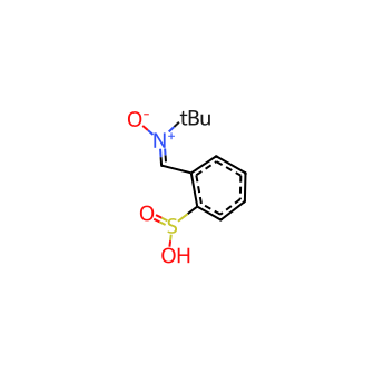 CC(C)(C)/[N+]([O-])=C\c1ccccc1S(=O)O